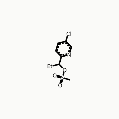 CCC(OS(C)(=O)=O)c1ccc(Cl)cn1